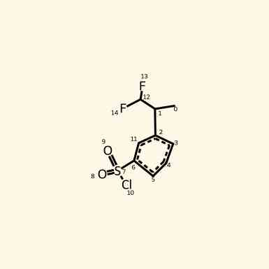 CC(c1cccc(S(=O)(=O)Cl)c1)C(F)F